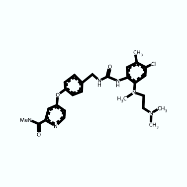 CNC(=O)c1cc(Oc2ccc(CNC(=O)Nc3cc(C)c(Cl)cc3N(C)CCN(C)C)cc2)ccn1